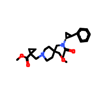 COCC1(CN(C(C)=O)[C@@H]2CC2c2ccccc2)CCN(CC2(C(=O)OC)CC2)CC1